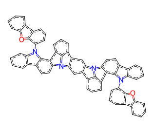 c1ccc2c(c1)oc1c(-n3c4ccccc4c4ccc5c(c6cccc7c8cc9c(cc8n5c76)c5cccc6c7c8c(ccc7n9c56)c5ccccc5n8-c5cccc6c5oc5ccccc56)c43)cccc12